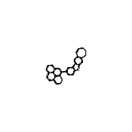 C1=Cc2cc3c(cc2CCC1)sc1ccc(-c2cc4cccc5ccc6c(c2CCC=6)c54)cc13